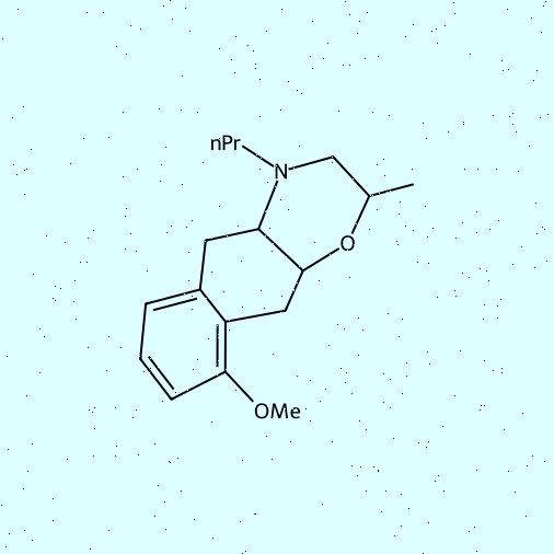 CCCN1CC(C)OC2Cc3c(cccc3OC)CC21